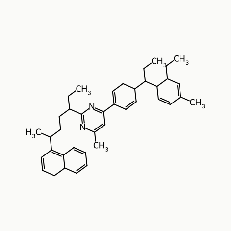 CCC(CCC(C)C1=C2C=CC=CC2CC=C1)c1nc(C)cc(C2=CCC(C(CC)C3C=CC(C)=CC3CC)C=C2)n1